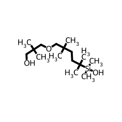 CC(C)(CO)COCC(C)(C)CCC(C)(C)[Si](C)(C)O